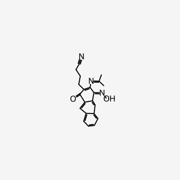 CC(C)=NC1=C(CCCC#N)C(=O)c2cc3ccccc3cc2/C1=N\O